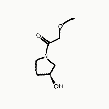 COCC(=O)N1CC[C@H](O)C1